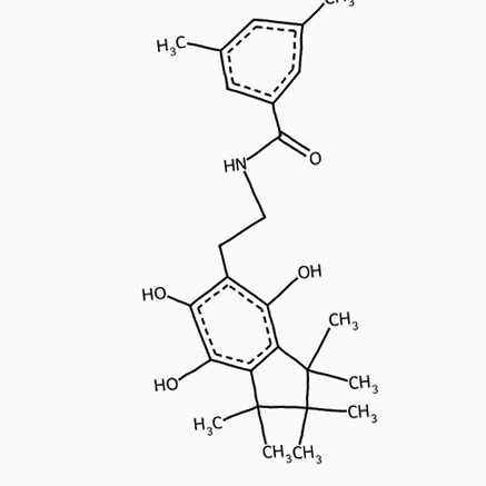 Cc1cc(C)cc(C(=O)NCCc2c(O)c(O)c3c(c2O)C(C)(C)C(C)(C)C3(C)C)c1